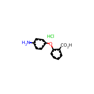 Cl.Nc1ccc(Oc2ccccc2C(=O)O)cc1